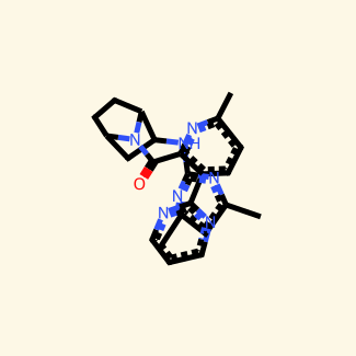 Cc1cc(C)nc(NC2CC3CCC2N3C(=O)c2nc(C)ccc2-c2ncccn2)n1